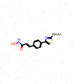 CC(=O)Nc1nc(-c2ccc(/C=C/C(=O)NO)cc2)cs1